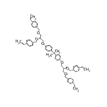 C=Cc1ccc(COCC(COc2ccc(C(C)(C)c3ccc(OCC(COCc4ccc(C=C)cc4)OCc4ccc(CC)cc4)cc3)cc2)OCc2ccc(C=C)cc2)cc1